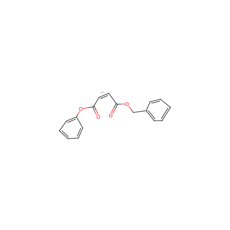 O=C(/C=C\C(=O)Oc1ccccc1)OCc1ccccc1